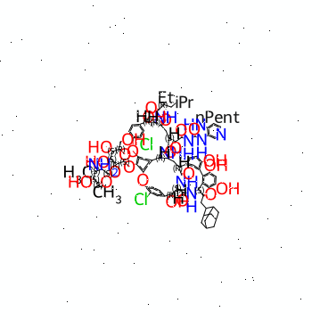 CCCCCNc1ccncc1NC(=O)NC(=O)C[C@@H]1CC(=O)[C@H](NC(=O)[C@H](CC)CC(C)C)[C@H](O)c2ccc(c(Cl)c2)Oc2cc3cc(c2O[C@@H]2O[C@H](CO)[C@@H](O)[C@H](O)[C@H]2O[C@H]2C[C@](C)(N)[C@H](O)[C@H](C)O2)Oc2ccc(cc2Cl)[C@@H](O)[C@@H]2NC(=O)[C@H](CC(=O)[C@@H]3NC1=O)c1ccc(O)c(c1)-c1c(O)cc(O)cc1[C@@H](C(=O)CC1C3CC4CC(C3)CC1C4)NC2=O